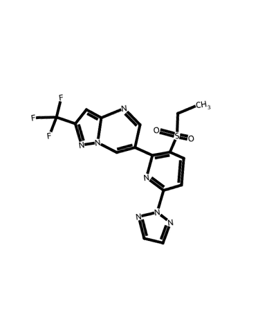 CCS(=O)(=O)c1ccc(-n2nccn2)nc1-c1cnc2cc(C(F)(F)F)nn2c1